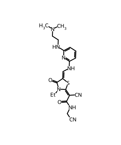 CCn1c(=C(C#N)C(=O)NCC#N)sc(=CNc2cccc(NCCN(C)C)n2)c1=O